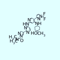 CN(C)C(=O)n1cc(-c2nccc(Nc3cc(NC4CCC(C)(O)CC4)c(-c4ccn(C(F)F)n4)cn3)n2)cn1